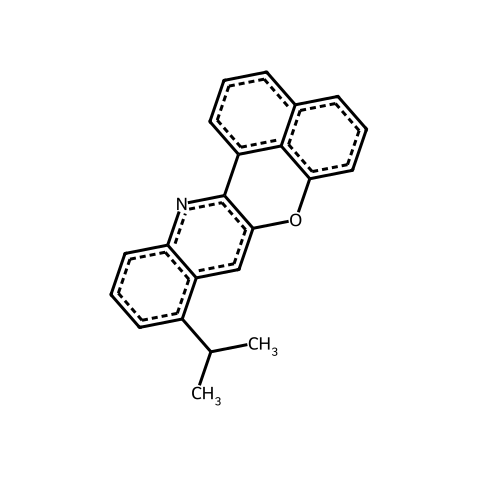 CC(C)c1cccc2nc3c(cc12)Oc1cccc2cccc-3c12